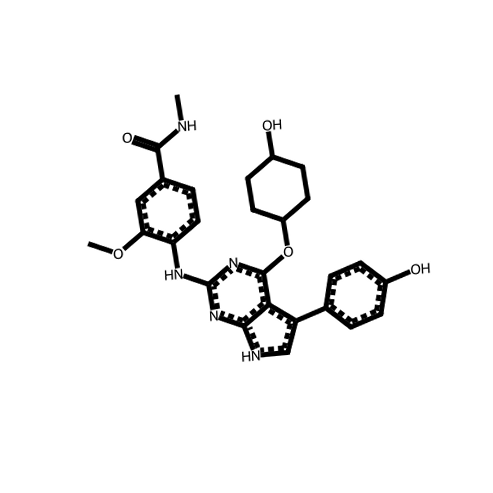 CNC(=O)c1ccc(Nc2nc(OC3CCC(O)CC3)c3c(-c4ccc(O)cc4)c[nH]c3n2)c(OC)c1